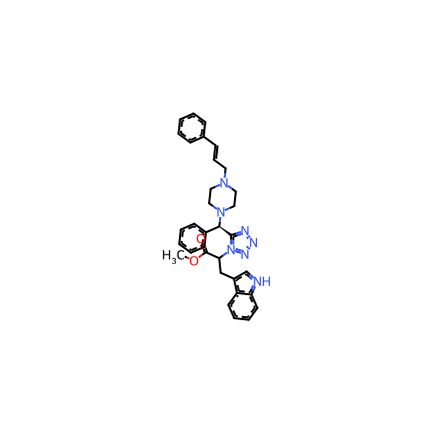 COC(=O)C(Cc1c[nH]c2ccccc12)n1nnnc1[C@@H](c1ccccc1)N1CCN(C/C=C/c2ccccc2)CC1